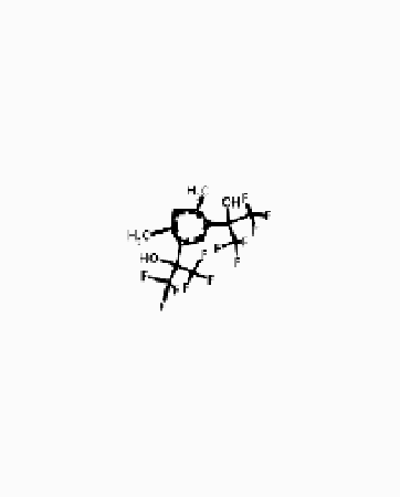 Cc1cc(C)c(C(O)(C(F)(F)F)C(F)(F)F)cc1C(O)(C(F)(F)F)C(F)(F)F